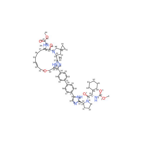 COC(=O)N[C@H](C(=O)N1CCC[C@H]1c1ncc(-c2ccc(-c3ccc(-c4nc5[nH]c4COCC=CCCC[C@@](C)(NC(=O)OC)C(=O)N4CC6(CC6)C[C@@H]54)cc3)cc2)[nH]1)C1CCCCC1